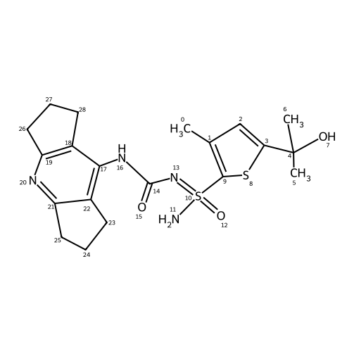 Cc1cc(C(C)(C)O)sc1S(N)(=O)=NC(=O)Nc1c2c(nc3c1CCC3)CCC2